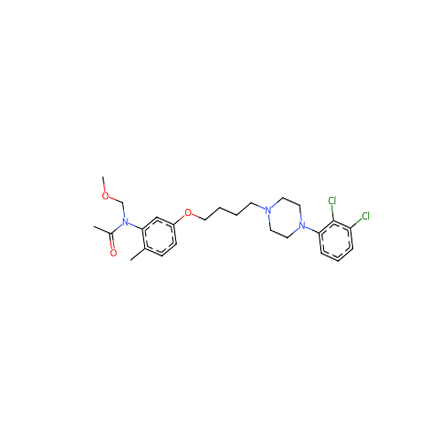 COCN(C(C)=O)c1cc(OCCCCN2CCN(c3cccc(Cl)c3Cl)CC2)ccc1C